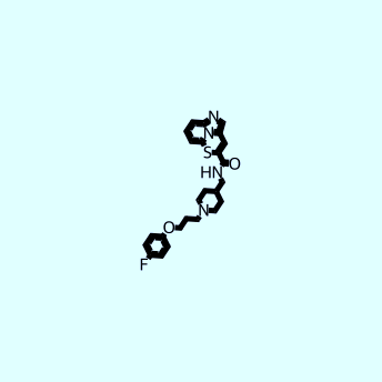 O=C(NCC1CCN(CCCOc2ccc(F)cc2)CC1)C1=Cc2cnc3cccc(n23)S1